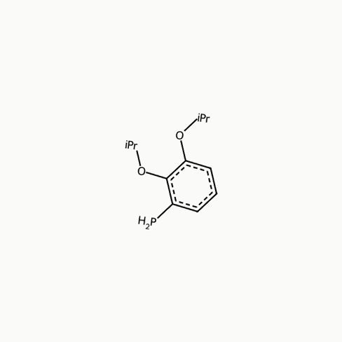 CC(C)Oc1cccc(P)c1OC(C)C